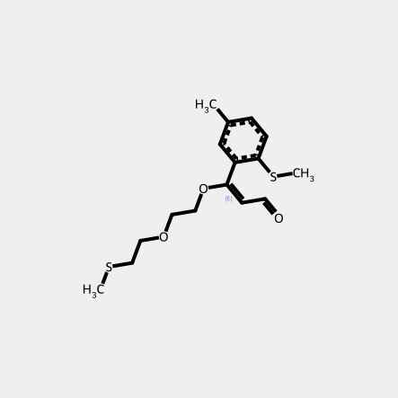 CSCCOCCO/C(=C/C=O)c1cc(C)ccc1SC